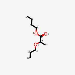 CCCCOC(=O)C(C)OCCC